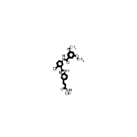 COc1cc(OC)cc(C(=O)Nc2ccc(Cl)c(-c3nc4cc(/C=C/C(=O)NO)ccc4[nH]3)c2)c1